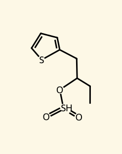 CCC(Cc1cccs1)O[SH](=O)=O